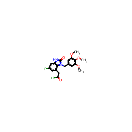 COc1cc(Cn2c(=O)[nH]c3cc(F)cc(CC(=O)Cl)c32)cc(OC)c1OC